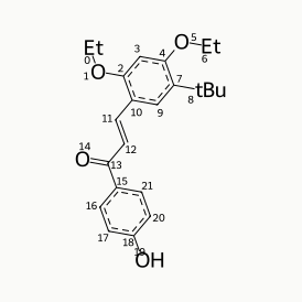 CCOc1cc(OCC)c(C(C)(C)C)cc1C=CC(=O)c1ccc(O)cc1